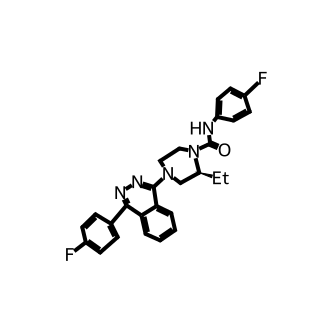 CC[C@H]1CN(c2nnc(-c3ccc(F)cc3)c3ccccc23)CCN1C(=O)Nc1ccc(F)cc1